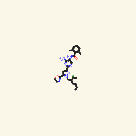 C=C(F)/C(=C\C=C/C)Cn1nc(-c2ncc(NC(=O)c3c(C)cccc3C)c(N)n2)cc1C1=NCCO1